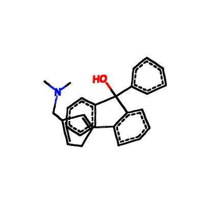 CN(C)CC1=CCC(c2ccccc2C(O)(c2ccccc2)c2ccccc2)=C1